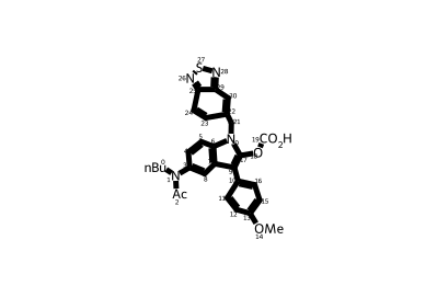 CCCCN(C(C)=O)c1ccc2c(c1)c(-c1ccc(OC)cc1)c(OC(=O)O)n2Cc1ccc2nsnc2c1